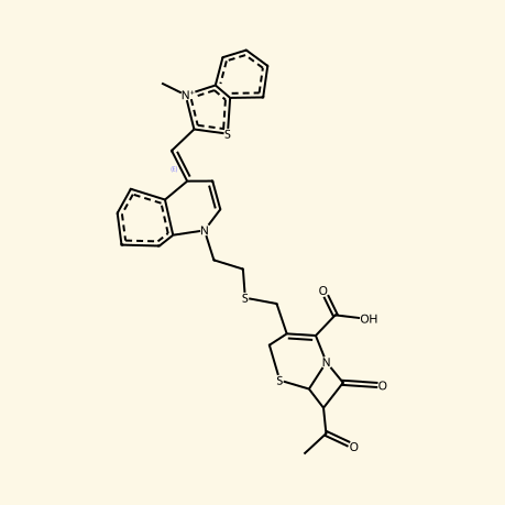 CC(=O)C1C(=O)N2C(C(=O)O)=C(CSCCN3C=C/C(=C\c4sc5ccccc5[n+]4C)c4ccccc43)CSC12